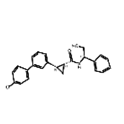 O=C(N[C@@H](CO)c1ccccc1)[C@@H]1C[C@H]1c1cccc(-c2ccc(Cl)cc2)c1